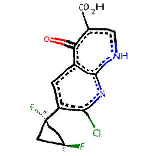 O=C(O)c1c[nH]c2nc(Cl)c([C@]3(F)C[C@@H]3F)cc2c1=O